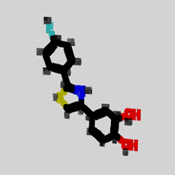 Oc1ccc(-c2csc(-c3ccc(F)cc3)n2)cc1O